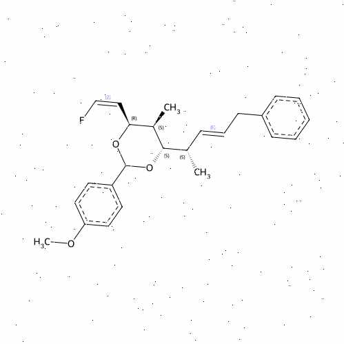 COc1ccc(C2O[C@@H]([C@@H](C)/C=C/Cc3ccccc3)[C@H](C)[C@H](/C=C\F)O2)cc1